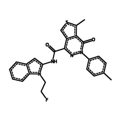 Cc1ccc(-n2nc(C(=O)Nc3cc4ccccc4n3CCF)c3csc(C)c3c2=O)cc1